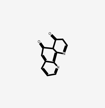 O=C1C=c2cccnc2=C2N=CCC(=O)C12